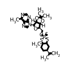 C=C(C)[C@H]1CC[C@@]2(C)SP(=S)(OC[C@H]3O[C@@H](n4cnc5c(C)ncnc54)[C@@H]4OC(C)(C)O[C@@H]43)SC2C1